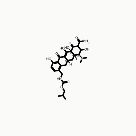 CC(C)COC(=O)NCc1ccc(O)c2c1C[C@H]1C[C@H]3[C@H](N(C)C)C(O)C(C(N)=O)C(=O)[C@@]3(O)C(O)=C1C2=O